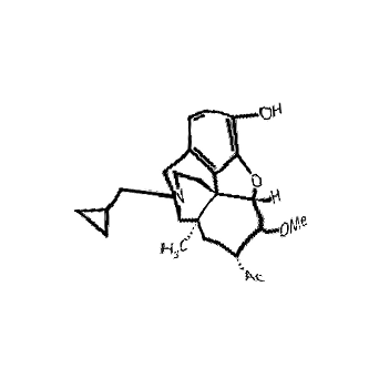 COC1[C@H]2Oc3c(O)ccc4c3[C@]23CCN(CC2CC2)C(C4)[C@]3(C)C[C@H]1C(C)=O